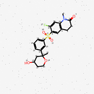 CN1C(=O)CCc2cc(S(=O)(=O)c3cccc(C4(C)CC(O)CCO4)c3)c(F)cc21